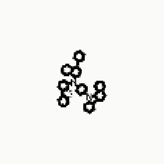 c1ccc(-c2ccc(N(c3ccc(-n4c5ccccc5c5ccc6ccccc6c54)cc3)c3cccc4c3sc3ccccc34)c3ccccc23)cc1